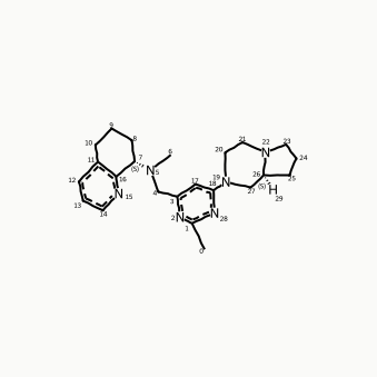 Cc1nc(CN(C)[C@H]2CCCc3cccnc32)cc(N2CCN3CCC[C@H]3C2)n1